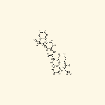 CS(=O)(=O)c1ccccc1-c1ccc(CC(=O)N(Cc2cccc(C(=N)N)c2)C2CCCCC2)cc1